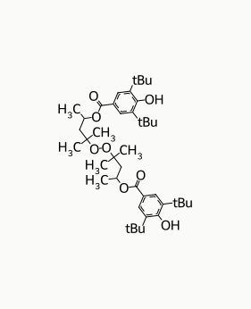 CC(CC(C)(C)OOC(C)(C)CC(C)OC(=O)c1cc(C(C)(C)C)c(O)c(C(C)(C)C)c1)OC(=O)c1cc(C(C)(C)C)c(O)c(C(C)(C)C)c1